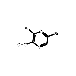 CCc1nc(Br)cnc1C=O